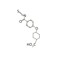 O=C(N=C=S)c1ccc(OC2CCC(C(=O)O)CC2)cc1